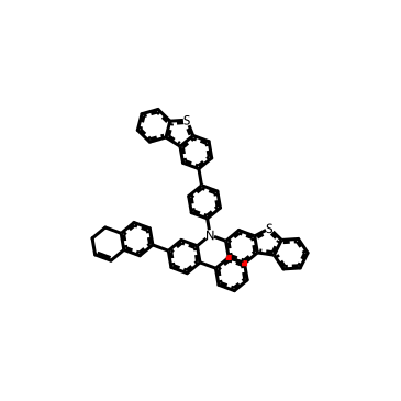 C1=Cc2cc(-c3ccc(-c4ccccc4)c(N(c4ccc(-c5ccc6sc7ccccc7c6c5)cc4)c4ccc5c(c4)sc4ccccc45)c3)ccc2CC1